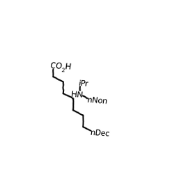 CCCCCCCCCCCCCCCCCC(=O)O.CCCCCCCCCNC(C)C